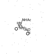 CC(=O)NCCNc1cc(N2CCN(C(=O)c3ccccn3)CC2)nc(-c2ccccc2)n1